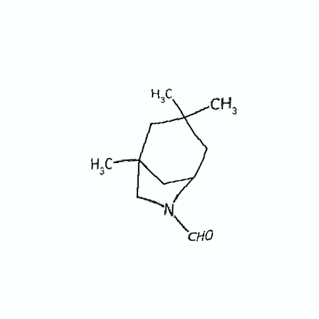 CC1(C)CC2CC(C)(CN2C=O)C1